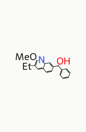 CCc1cc2ccc(C(O)c3ccccc3)cc2nc1OC